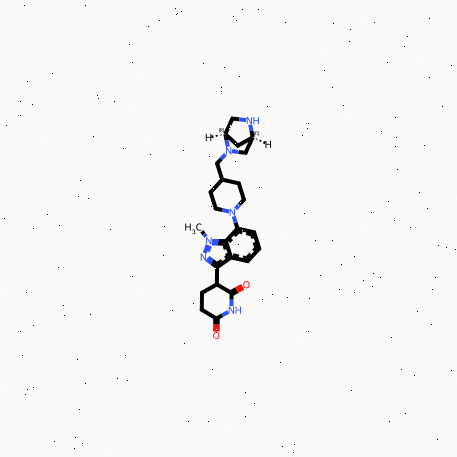 Cn1nc(C2CCC(=O)NC2=O)c2cccc(N3CCC(CN4C[C@H]5C[C@@H]4CN5)CC3)c21